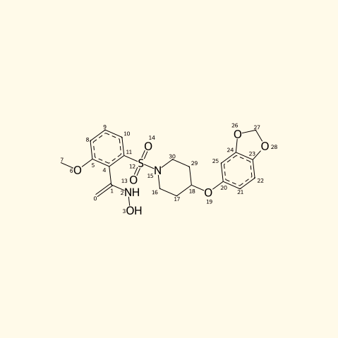 C=C(NO)c1c(OC)cccc1S(=O)(=O)N1CCC(Oc2ccc3c(c2)OCO3)CC1